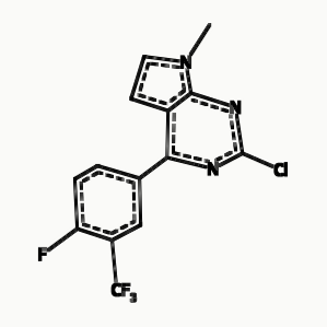 Cn1ccc2c(-c3ccc(F)c(C(F)(F)F)c3)nc(Cl)nc21